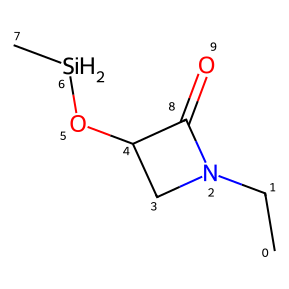 CCN1CC(O[SiH2]C)C1=O